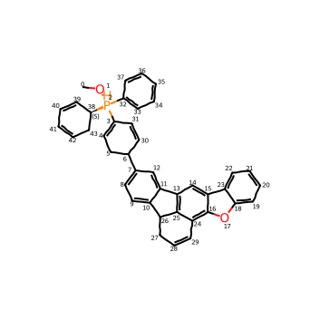 CO[PH](C1=CCC(c2ccc3c(c2)-c2cc4c(oc5ccccc54)c4c2C3CC=C4)C=C1)(c1ccccc1)[C@@H]1C=CC=CC1